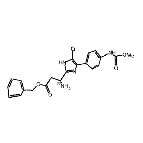 COC(=O)Nc1ccc(-c2nc([C@@H](N)CC(=O)OCc3ccccc3)[nH]c2Cl)cc1